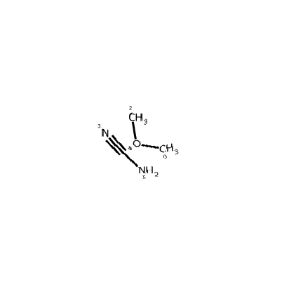 COC.N#CN